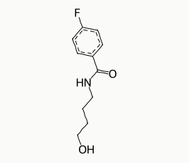 O=C(NCCCCO)c1ccc(F)cc1